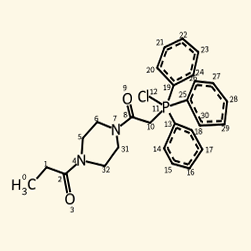 CCC(=O)N1CCN(C(=O)CP(Cl)(c2ccccc2)(c2ccccc2)c2ccccc2)CC1